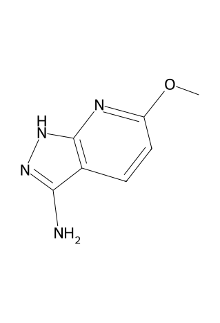 COc1ccc2c(N)n[nH]c2n1